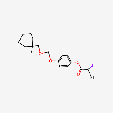 CCC(I)C(=O)Oc1ccc(OCOCC2(C)CCCCC2)cc1